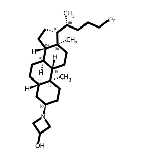 CC(C)CCC[C@@H](C)[C@H]1CC[C@H]2[C@@H]3CC[C@H]4C[C@H](N5CC(O)C5)CC[C@]4(C)[C@H]3CC[C@]12C